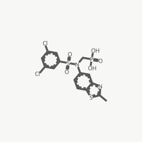 Cc1nc2cc(N(CP(=O)(O)O)S(=O)(=O)c3cc(Cl)cc(Cl)c3)ccc2s1